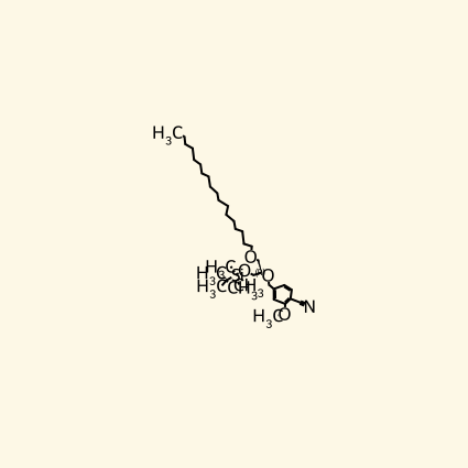 CCCCCCCCCCCCCCCCCCOC[C@H](CO[Si](C)(C)C(C)(C)C)OCc1ccc(C#N)c(OC)c1